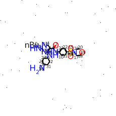 CCCCNc1ncc(C(=O)Nc2ccc(S(=O)(=O)N3CCOCC3)cc2)c(NC2CCC(N)CC2)n1